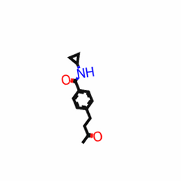 CC(=O)CCc1ccc(C(=O)NC2CC2)cc1